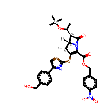 CC(O[Si](C)(C)C)[C@H]1C(=O)N2C(C(=O)OCc3ccc([N+](=O)[O-])cc3)=C(Sc3nc(-c4ccc(CO)cc4)cs3)[C@H](C)[C@H]12